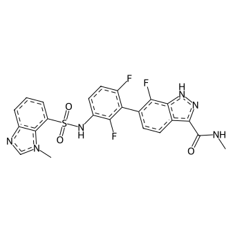 CNC(=O)c1n[nH]c2c(F)c(-c3c(F)ccc(NS(=O)(=O)c4cccc5ncn(C)c45)c3F)ccc12